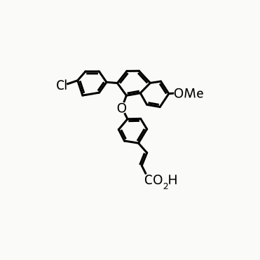 COc1ccc2c(Oc3ccc(/C=C/C(=O)O)cc3)c(-c3ccc(Cl)cc3)ccc2c1